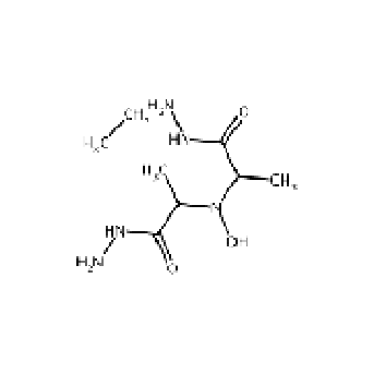 CC.CC(C(=O)NN)N(O)C(C)C(=O)NN